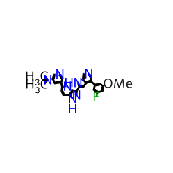 COc1cc(F)cc(-c2cncc3[nH]c(-c4n[nH]c5ccc(-c6cncc(N(C)C)c6)nc45)cc23)c1